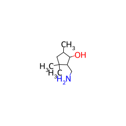 CC1CC(C)(C)C(CN)C1O